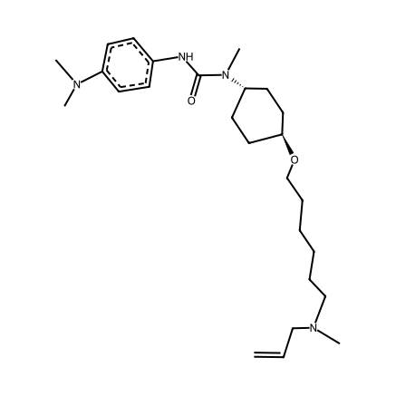 C=CCN(C)CCCCCCO[C@H]1CC[C@H](N(C)C(=O)Nc2ccc(N(C)C)cc2)CC1